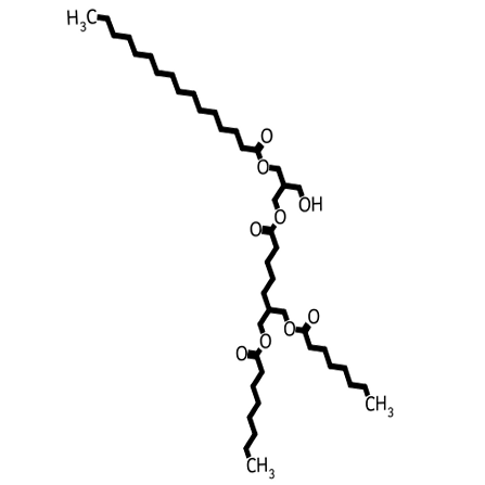 CCCCCCCCCCCCCCCC(=O)OCC(CO)COC(=O)CCCCC(COC(=O)CCCCCCC)COC(=O)CCCCCCC